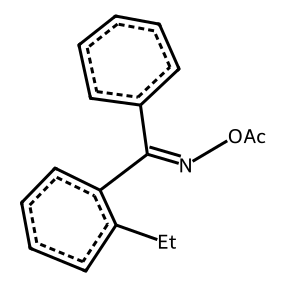 CCc1ccccc1C(=NOC(C)=O)c1ccccc1